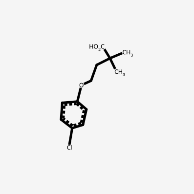 CC(C)(CCOc1ccc(Cl)cc1)C(=O)O